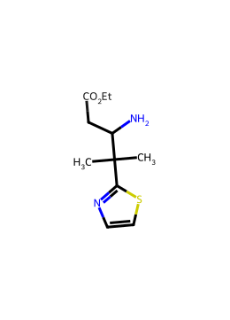 CCOC(=O)CC(N)C(C)(C)c1nccs1